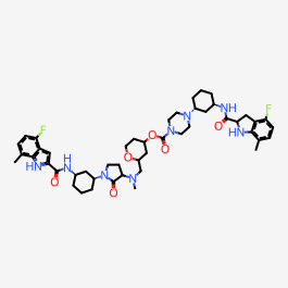 Cc1ccc(F)c2c1NC(C(=O)N[C@@H]1CCC[C@@H](N3CCN(C(=O)OC4CCOC(CN(C)C5CCN([C@H]6CCC[C@@H](NC(=O)c7cc8c(F)ccc(C)c8[nH]7)C6)C5=O)C4)CC3)C1)C2